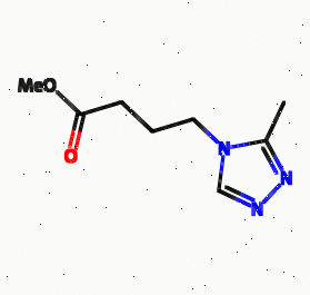 COC(=O)CCCn1cnnc1C